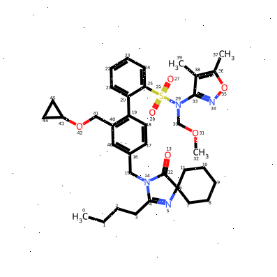 CCCCC1=NC2(CCCCC2)C(=O)N1Cc1ccc(-c2ccccc2S(=O)(=O)N(COC)c2noc(C)c2C)c(COC2CC2)c1